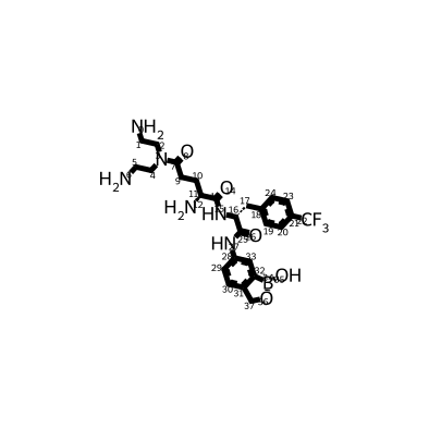 NCCN(CCN)C(=O)CC[C@H](N)C(=O)N[C@H](Cc1ccc(C(F)(F)F)cc1)C(=O)Nc1ccc2c(c1)B(O)OC2